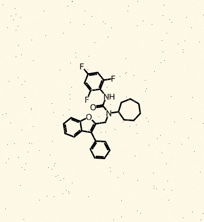 O=C(Nc1c(F)cc(F)cc1F)N(Cc1oc2ccccc2c1-c1ccccc1)C1CCCCCC1